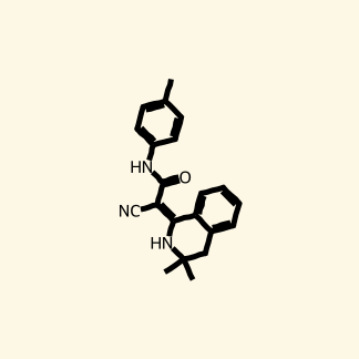 Cc1ccc(NC(=O)C(C#N)=C2NC(C)(C)Cc3ccccc32)cc1